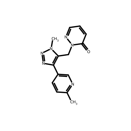 Cc1ccc(-c2nnn(C)c2Cn2ncccc2=O)cn1